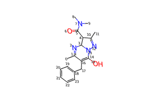 CC1=NC2C(C(=O)N(C)C)C(C)=NN2C(O)=C1Cc1ccccc1